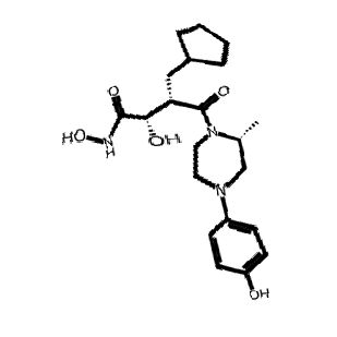 C[C@@H]1CN(c2ccc(O)cc2)CCN1C(=O)[C@@H](CC1CCCC1)[C@H](O)C(=O)NO